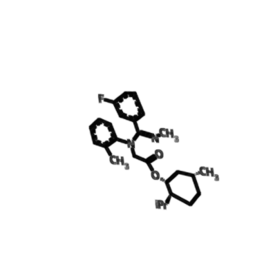 C/N=C(\c1cccc(F)c1)N(CC(=O)O[C@@H]1C[C@H](C)CC[C@H]1C(C)C)c1ccccc1C